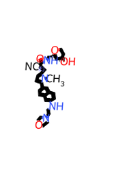 Cn1c(/C=C(\C#N)C(=O)NC[C@@H]2C[C@H](O)CCO2)ccc1-c1ccc2cc(NCCN3CCOCC3)ccc2c1